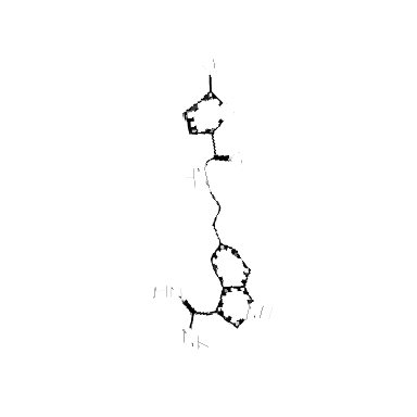 N=C(N)c1c[nH]c2ccc(CCNC(=O)c3ccc(Cl)s3)cc12